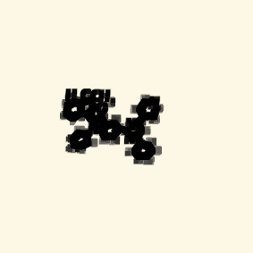 CC1(C)c2ccccc2-c2c1oc1c3cc(-c4nc(-c5ccccc5)cc(-c5ccncc5)n4)ccc3n(-c3ccccc3)c21